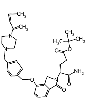 C=C(/C=C\C)N1CCN(Cc2ccc(COc3cccc4c3CN([C@@H](CCC(=O)OC(C)(C)C)C(N)=O)C4=O)cc2)CC1